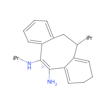 CC(C)N/C1=C(\N)C2=CCCC=C2C(C(C)C)Cc2ccccc21